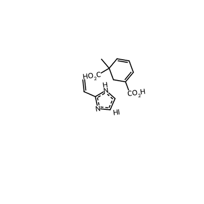 C=Cc1ncc[nH]1.CC1(C(=O)O)C=CC=C(C(=O)O)C1.I